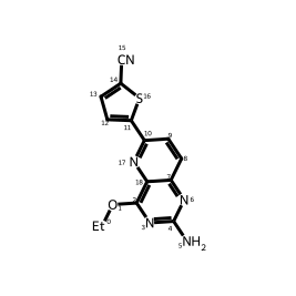 CCOc1nc(N)nc2ccc(-c3ccc(C#N)s3)nc12